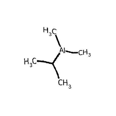 C[CH](C)[Al]([CH3])[CH3]